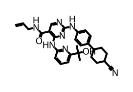 C=CCNC(=O)c1cnc(Nc2ccc(C3CCC(C#N)CC3)cc2)nc1Nc1cccc(C(C)(C)O)n1